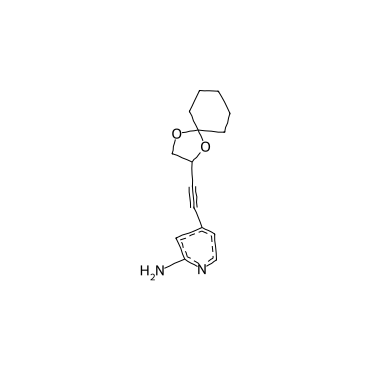 Nc1cc(C#CC2COC3(CCCCC3)O2)ccn1